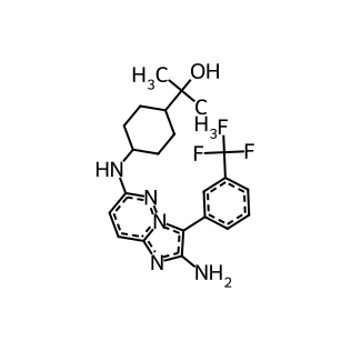 CC(C)(O)C1CCC(Nc2ccc3nc(N)c(-c4cccc(C(F)(F)F)c4)n3n2)CC1